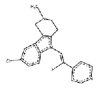 CN1CCc2c(c3cc(Cl)ccc3n2/C=C(\F)c2ccncc2)C1